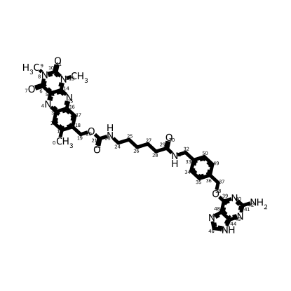 Cc1cc2nc3c(=O)n(C)c(=O)n(C)c3nc2cc1COC(=O)NCCCCCC(=O)NCc1ccc(COc2nc(N)nc3[nH]cnc23)cc1